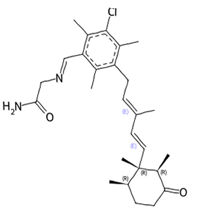 CC(/C=C/[C@@]1(C)[C@H](C)CCC(=O)[C@@H]1C)=C\Cc1c(C)c(Cl)c(C)c(C=NCC(N)=O)c1C